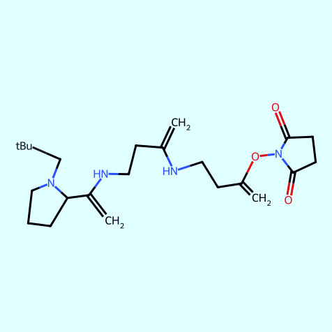 C=C(CCNC(=C)C1CCCN1CC(C)(C)C)NCCC(=C)ON1C(=O)CCC1=O